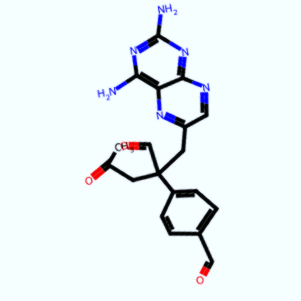 CC(=O)CC(C=O)(Cc1cnc2nc(N)nc(N)c2n1)c1ccc(C=O)cc1